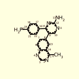 Cc1ncnc2ccc(-c3cnc(N)nc3-c3ccc(P)cc3)cc12